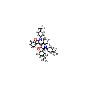 CC(C)(C)c1ccc(N2c3cccc4c3B(c3oc5ccc(C(C)(C)C)cc5c3N4c3ccc(C(C)(C)C)cc3)c3c2oc2ccccc32)cc1